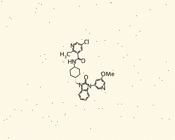 COc1cncc(-n2c(=O)n(C[C@H]3CC[C@H](NC(=O)c4cc(Cl)cnc4C)CC3)c3ccccc32)c1